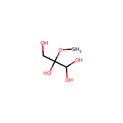 OCC(O)(O[SiH3])C(O)O